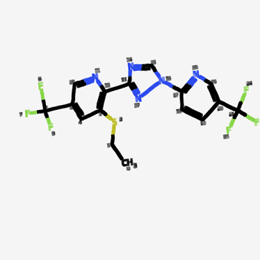 CCSc1cc(C(F)(F)F)cnc1-c1ncn(-c2ccc(C(F)(F)F)cn2)n1